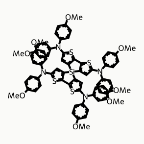 COc1ccc(N(c2ccc(OC)cc2)c2cc3c(s2)-c2sc(N(c4ccc(OC)cc4)c4ccc(OC)cc4)cc2[Si]32c3cc(N(c4ccc(OC)cc4)c4ccc(OC)cc4)sc3-c3sc(N(c4ccc(OC)cc4)c4ccc(OC)cc4)cc32)cc1